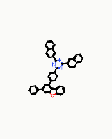 C1=C(c2nc(-c3ccc4ccccc4c3)nc(-c3ccc4ccccc4c3)n2)CCC(c2cc(-c3ccccc3)cc3oc4ccccc4c23)=C1